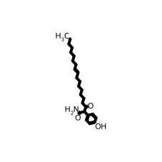 CCCCCCCCC=CCCCCCCCC(=O)C(C(N)=O)c1ccc(O)cc1